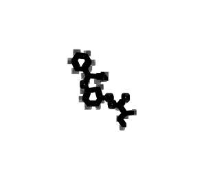 CCC(C)C(=O)OOc1cccc(OC(C#N)c2ccccc2)c1